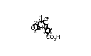 O=C(O)c1ccc2cc3n(c2c1)CC1(CCOCC1)CNC3=O